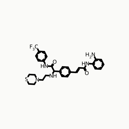 Nc1ccccc1NC(=O)C=Cc1ccc(C(NCCN2CCSCC2)C(=O)Nc2ccc(C(F)(F)F)cc2)cc1